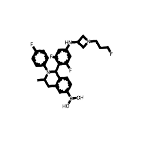 CC1Cc2cc(B(O)O)ccc2C(c2c(F)cc(NC3CN(CCCF)C3)cc2F)N1c1ccc(F)cc1